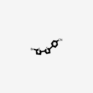 N#Cc1ccc(-c2ccc(-c3ccc(Br)s3)s2)cc1